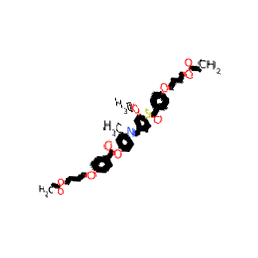 C=CC(=O)OCCCCOc1ccc(C(=O)Oc2ccc(/N=C/c3ccc(SC(=O)c4ccc(OCCCCOC(=O)C=C)cc4)c(OC)c3)c(C)c2)cc1